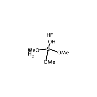 CO[Si](O)(OC)OC.F.S